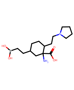 NC1(C(=O)O)CC(CCB(O)O)CCC1CCN1CCCC1